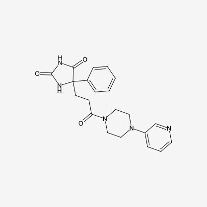 O=C1NC(=O)C(CCC(=O)N2CCN(c3cccnc3)CC2)(c2ccccc2)N1